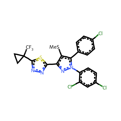 CSc1c(-c2nnc(C3(C(F)(F)F)CC3)s2)nn(-c2ccc(Cl)cc2Cl)c1-c1ccc(Cl)cc1